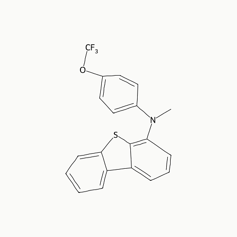 CN(c1ccc(OC(F)(F)F)cc1)c1cccc2c1sc1ccccc12